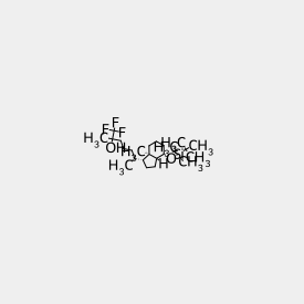 CC(CCCC(C)(O)C(F)(F)F)[C@H]1CC[C@H]2[C@@H](O[Si](C)(C)C(C)(C)C)CCC[C@]12C